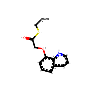 CCCCCCCCCCSC(=O)COc1cccc2cccnc12